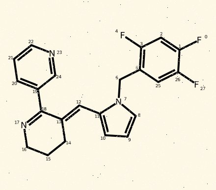 Fc1cc(F)c(Cn2cccc2C=C2CCCN=C2c2cccnc2)cc1F